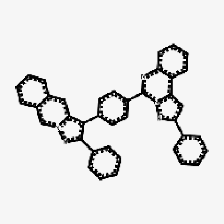 c1ccc(-c2cc3c4ccccc4nc(-c4ccc(-c5c(-c6ccccc6)nn6cc7ccccc7cc56)cc4)n3n2)cc1